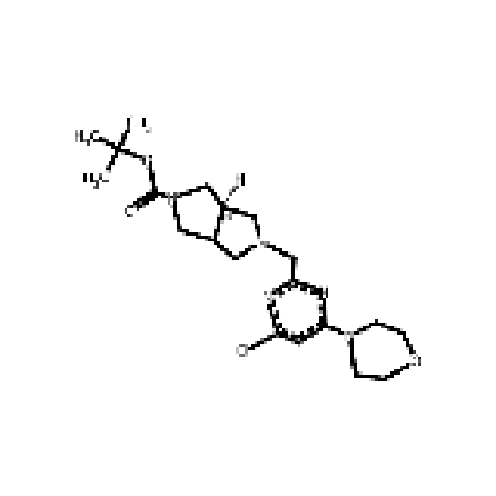 CC(C)(C)OC(=O)N1CC2CN(Cc3nc(Cl)cc(N4CCOCC4)n3)C[C@@H]2C1